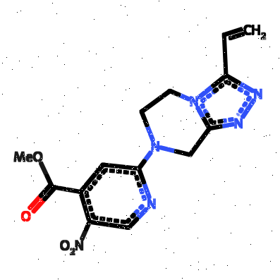 C=Cc1nnc2n1CCN(c1cc(C(=O)OC)c([N+](=O)[O-])cn1)C2